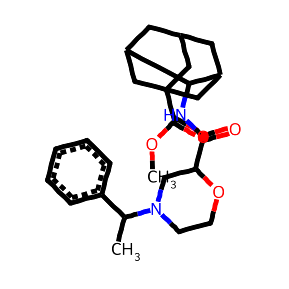 COC(=O)C12CC3CC(C1)C(NC(=O)C1CN(C(C)c4ccccc4)CCO1)C(C3)C2